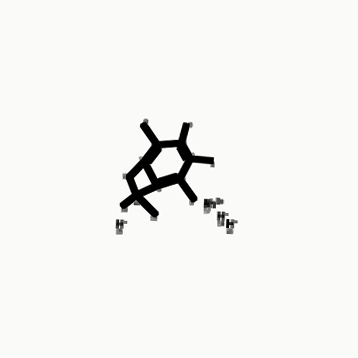 Cc1c(C)c(C)c2c(c1C)CC2(C)C.[H-].[H-].[H-].[Rh+3]